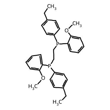 CCc1ccc(P(CCP(c2ccc(CC)cc2)c2ccccc2OC)c2ccccc2OC)cc1